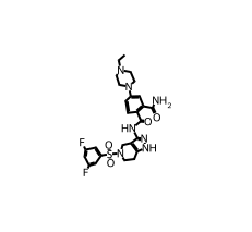 CCN1CCN(c2ccc(C(=O)Nc3n[nH]c4c3CN(S(=O)(=O)c3cc(F)cc(F)c3)CC4)c(C(N)=O)c2)CC1